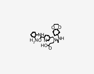 C=C(Nc1ccc2c(c1)OCCO2)N(CCC(=O)O)Cc1ccc(C(=O)Nc2ccccc2N)nc1